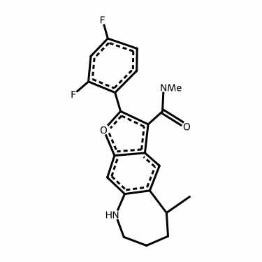 CNC(=O)c1c(-c2ccc(F)cc2F)oc2cc3c(cc12)C(C)CCCN3